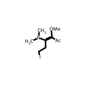 CO/C(C(C)=O)=C(/CCI)N(C)C